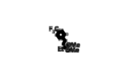 CC[Si](CCc1ccc(C(F)(F)F)cc1)(OC)OC